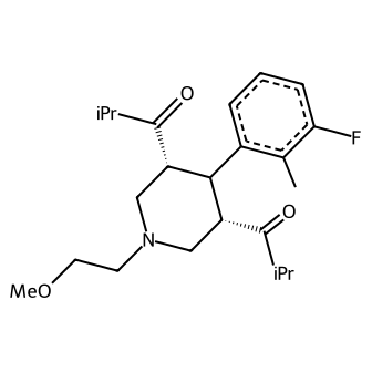 COCCN1C[C@H](C(=O)C(C)C)C(c2cccc(F)c2C)[C@H](C(=O)C(C)C)C1